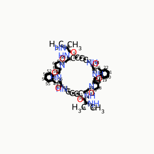 CN[C@@H](C)C(=O)N[C@H]1CCCCNC(=O)[C@H](Cc2ccccc2)NC(=O)[C@@H]2CCCN2C(=O)[C@@H](NC(=O)[C@H](C)NC)CCCCNC(=O)[C@H](Cc2ccccc2)NC(=O)C2CCCN2C1=O